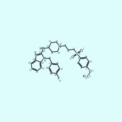 COc1ccc(S(=O)(=O)CCCN2CCC(Nc3nc4ccccc4n3Cc3ccc(F)cc3)CC2)cc1